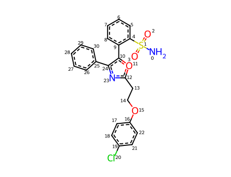 NS(=O)(=O)c1ccccc1-c1oc(CCOc2ccc(Cl)cc2)nc1-c1ccccc1